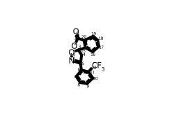 O=C1OC2(CC(c3ccccc3C(F)(F)F)=NO2)c2ccccc21